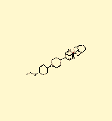 CCO[C@H]1CC[C@@H](N2CCC(c3cnc(N4C5CCC4CN(CC)C5)nc3)CC2)CC1